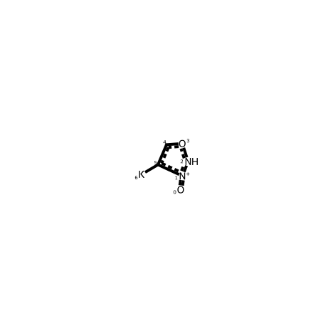 O=[n+]1[nH]oc[c]1[K]